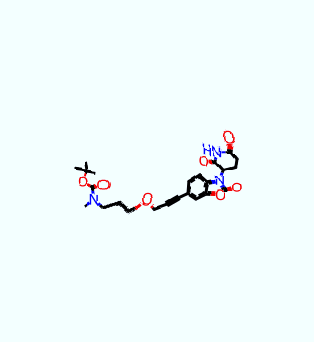 CN(CCCOCC#Cc1ccc2c(c1)oc(=O)n2C1CCC(=O)NC1=O)C(=O)OC(C)(C)C